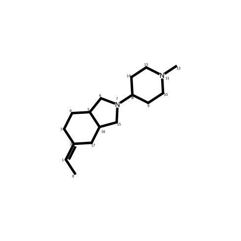 C/C=C1/CCC2CN(C3CCN(C)CC3)CC2C1